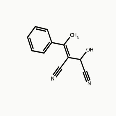 C/C(=C(/C#N)C(O)C#N)c1ccccc1